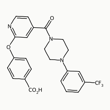 O=C(O)c1ccc(Oc2cc(C(=O)N3CCN(c4cccc(C(F)(F)F)c4)CC3)ccn2)cc1